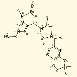 CC(c1ccc2c(n1)OC(C)(C)CO2)N1C[C@H](C)N(c2cc(=O)n(C)c3cn(CC#N)nc23)C[C@H]1C